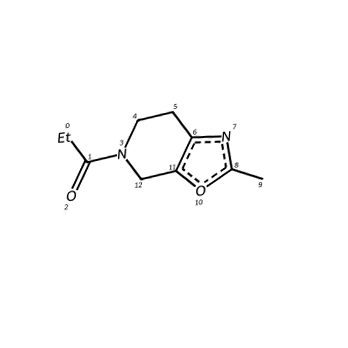 CCC(=O)N1CCc2nc(C)oc2C1